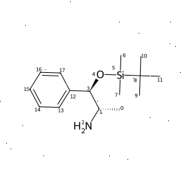 C[C@H](N)[C@H](O[Si](C)(C)C(C)(C)C)c1ccccc1